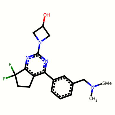 CSN(C)Cc1cccc(-c2nc(N3CC(O)C3)nc3c2CCC3(F)F)c1